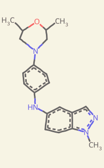 CC1CN(c2ccc(Nc3ccc4c(cnn4C)c3)cc2)CC(C)O1